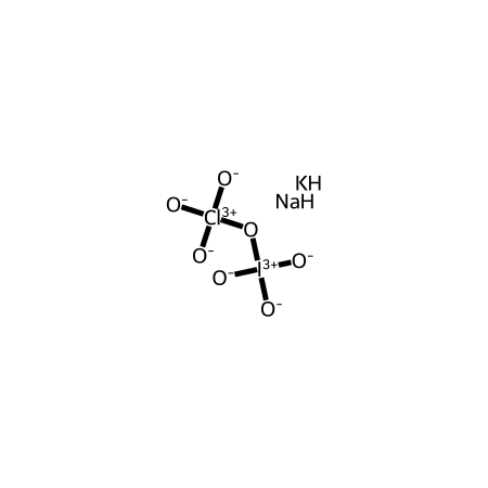 [KH].[NaH].[O-][Cl+3]([O-])([O-])O[I+3]([O-])([O-])[O-]